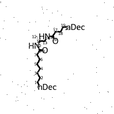 CCCCCCCCCCCCCCCCCC(=O)N[C@H](C)CNC(=O)CCCCCCCCCCCCC